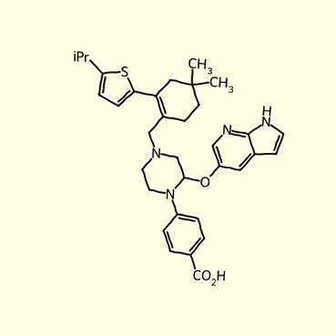 CC(C)c1ccc(C2=C(CN3CCN(c4ccc(C(=O)O)cc4)C(Oc4cnc5[nH]ccc5c4)C3)CCC(C)(C)C2)s1